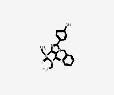 CCn1c(=O)c2c(nc(-c3ccc(O)cc3)n2Cc2ccccc2)n(CC)c1=O